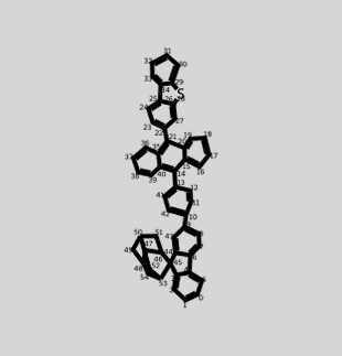 c1ccc2c(c1)-c1ccc(-c3ccc(-c4c5ccccc5c(-c5ccc6c(c5)sc5ccccc56)c5ccccc45)cc3)cc1C21C2CC3CC(C2)CC1C3